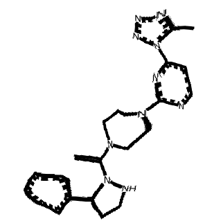 C=C(N1CCN(c2nccc(-n3nnnc3C)n2)CC1)N1NCCC1c1ccccc1